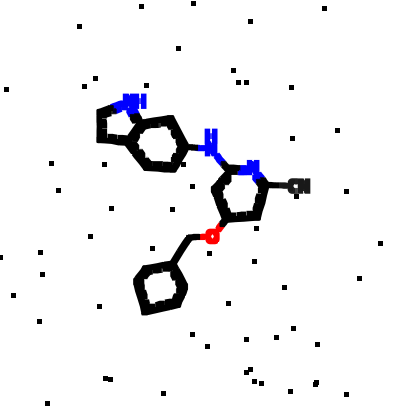 N#Cc1cc(OCc2ccccc2)cc(Nc2ccc3cc[nH]c3c2)n1